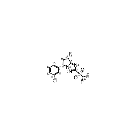 O=S(=O)(c1nc2n(n1)[C@H](c1cccc(Cl)c1)C[C@@H]2F)C(F)F